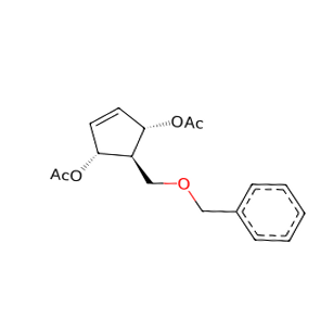 CC(=O)O[C@H]1C=C[C@@H](OC(C)=O)[C@@H]1COCc1ccccc1